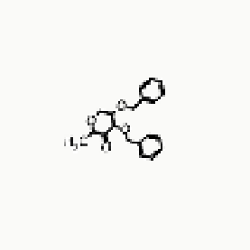 CC1OCC(OCc2ccccc2)C(OCc2ccccc2)C1=O